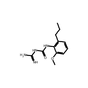 CCCc1cccc(OC)c1NC(=O)NC(=N)N